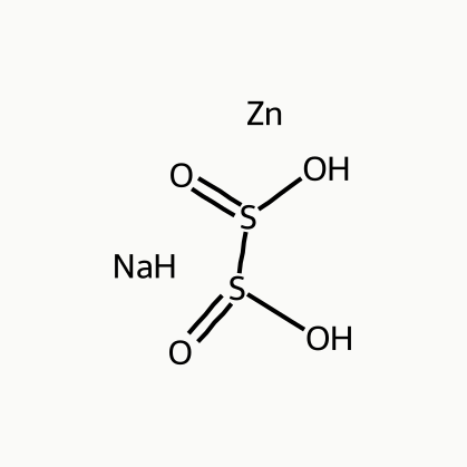 O=S(O)S(=O)O.[NaH].[Zn]